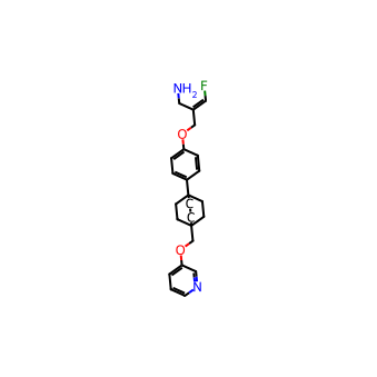 NC/C(=C\F)COc1ccc(C23CCC(COc4cccnc4)(CC2)CC3)cc1